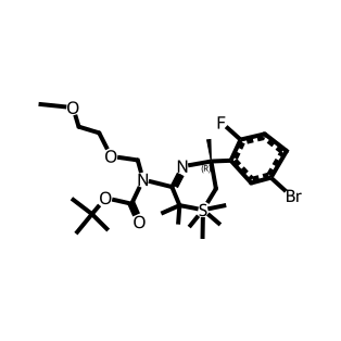 COCCOCN(C(=O)OC(C)(C)C)C1=N[C@](C)(c2cc(Br)ccc2F)CS(C)(C)(C)(C)C1(C)C